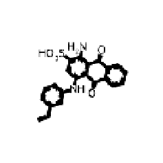 C=Cc1cccc(Nc2cc(S(=O)(=O)O)c(N)c3c2C(=O)c2ccccc2C3=O)c1